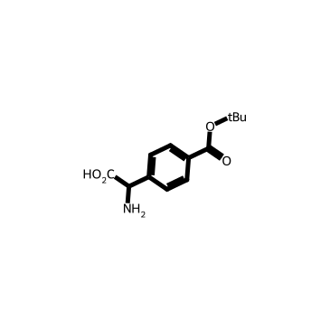 CC(C)(C)OC(=O)c1ccc(C(N)C(=O)O)cc1